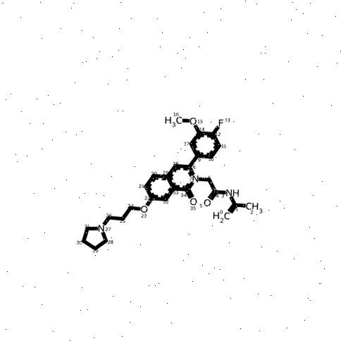 C=C(C)NC(=O)Cn1c(-c2ccc(F)c(OC)c2)cc2ccc(OCCCN3CCCC3)cc2c1=O